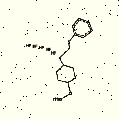 CCCCCCOC1CCC(CCSc2ccccc2)CC1.F.F.F.F.F